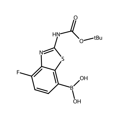 CC(C)(C)OC(=O)Nc1nc2c(F)ccc(B(O)O)c2s1